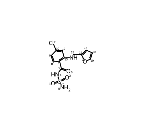 NS(=O)(=O)NC(=O)c1ccc(Cl)cc1NCc1ccco1